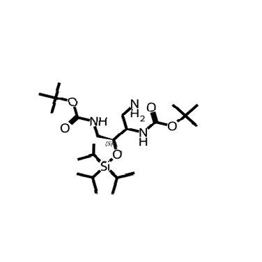 CC(C)[Si](O[C@@H](CNC(=O)OC(C)(C)C)C(CN)NC(=O)OC(C)(C)C)(C(C)C)C(C)C